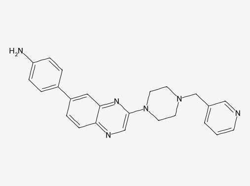 Nc1ccc(-c2ccc3ncc(N4CCN(Cc5cccnc5)CC4)nc3c2)cc1